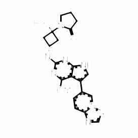 COc1nc(N[C@H]2C[C@@](C)(N3CCCC3=O)C2)nc2[nH]cc(-c3ccc4ncnn4c3)c12